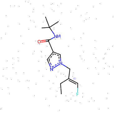 CC/C(=C\F)Cn1cc(C(=O)NC(C)(C)C)cn1